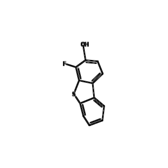 Oc1ccc2c(sc3ccccc32)c1F